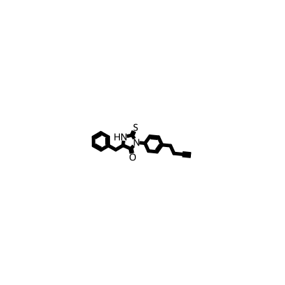 C#CCCC1=CCC(N2C(=O)C(Cc3ccccc3)NC2=S)C=C1